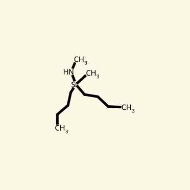 CCCC[Si](C)(CCCC)NC